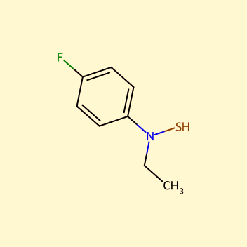 CCN(S)c1ccc(F)cc1